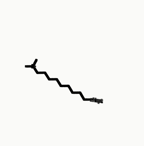 CCCCCCCCCCCCCCCC[Si](C)C